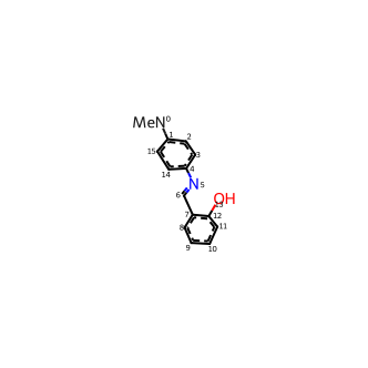 CNc1ccc(N=Cc2ccccc2O)cc1